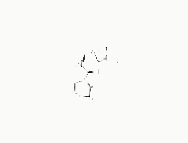 C=C(/N=C\N(C)CC)N1CCOCC1